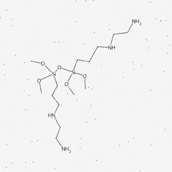 CO[Si](CCCNCCN)(OC)O[Si](CCCNCCN)(OC)OC